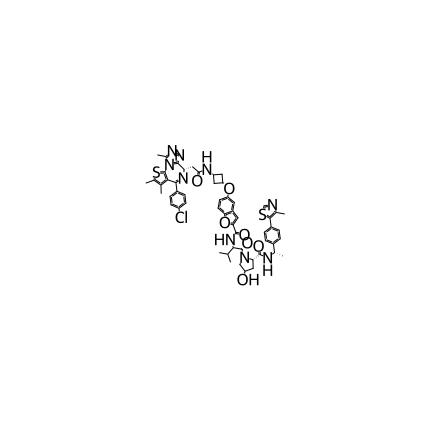 Cc1ncsc1-c1ccc([C@H](C)NC(=O)[C@@H]2C[C@@H](O)CN2C(=O)[C@@H](NC(=O)c2cc3cc(O[C@H]4C[C@@H](NC(=O)C[C@@H]5N=C(c6ccc(Cl)cc6)c6c(sc(C)c6C)-n6c(C)nnc65)C4)ccc3o2)C(C)C)cc1